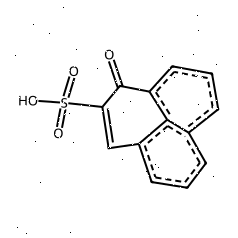 O=C1C(S(=O)(=O)O)=Cc2cccc3cccc1c23